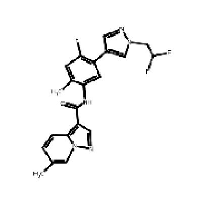 Cc1ccc2c(C(=O)Nc3cc(-c4cnn(CC(F)F)c4)c(F)cc3C)cnn2c1